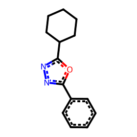 c1ccc(-c2nnc(C3CCCCC3)o2)cc1